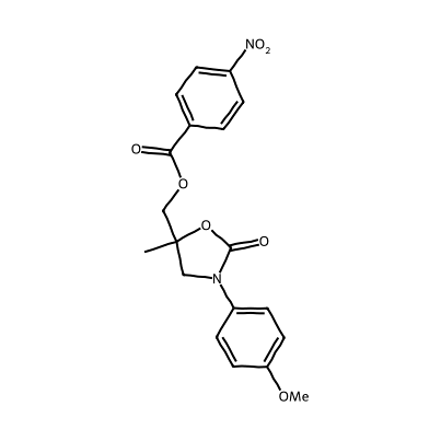 COc1ccc(N2CC(C)(COC(=O)c3ccc([N+](=O)[O-])cc3)OC2=O)cc1